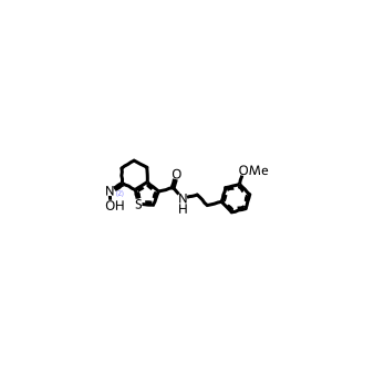 COc1cccc(CCNC(=O)c2csc3c2CCC/C3=N/O)c1